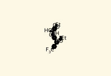 CCN(C)C(=O)C[C@@H]1CCC(c2ccc(C(F)(F)F)cc2)CN1c1ccc(C(=O)N[C@@H](CO)c2ccc(S(=O)(=O)CC)cc2)cc1